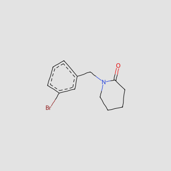 O=C1CCCCN1Cc1cccc(Br)c1